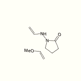 C=CNN1CCCC1=O.C=COC